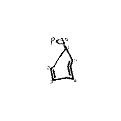 [Pd][CH]1C=CC=C1